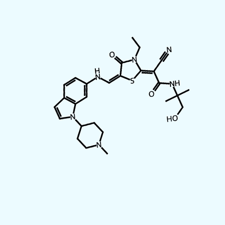 CCn1c(=O)/c(=C\Nc2ccc3ccn(C4CCN(C)CC4)c3c2)s/c1=C(/C#N)C(=O)NC(C)(C)CO